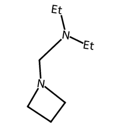 CCN(CC)CN1CCC1